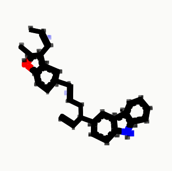 C=CC(C/C=C/c1ccc2oc(C)c(/C=C\C)c2c1)c1ccc2[nH]c3ccccc3c2c1